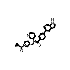 O=C(C1CC1)N1CC[C@@H](CN(C(=O)c2ccc(-c3ccc4[nH]ccc4c3)cc2)c2cccnc2)C1